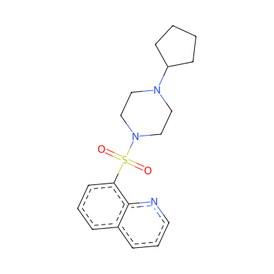 O=S(=O)(c1cccc2cccnc12)N1CCN(C2CCCC2)CC1